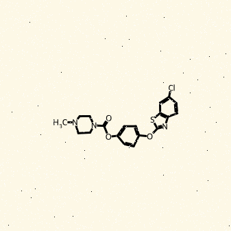 CN1CCN(C(=O)Oc2ccc(Oc3nc4ccc(Cl)cc4s3)cc2)CC1